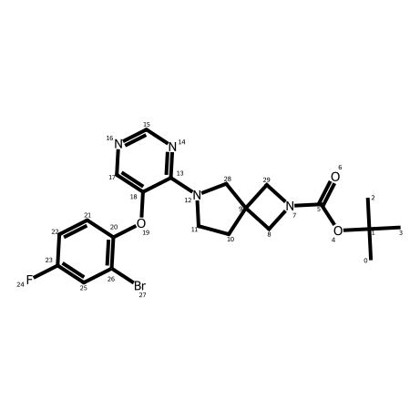 CC(C)(C)OC(=O)N1CC2(CCN(c3ncncc3Oc3ccc(F)cc3Br)C2)C1